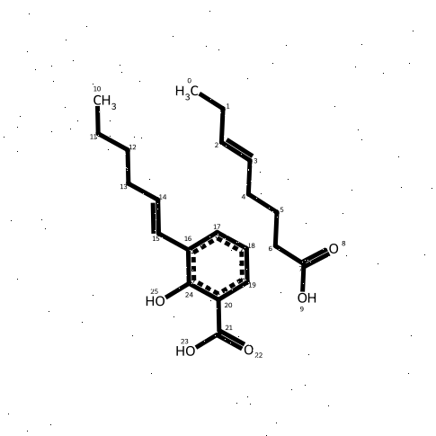 CCC=CCCCC(=O)O.CCCCC=Cc1cccc(C(=O)O)c1O